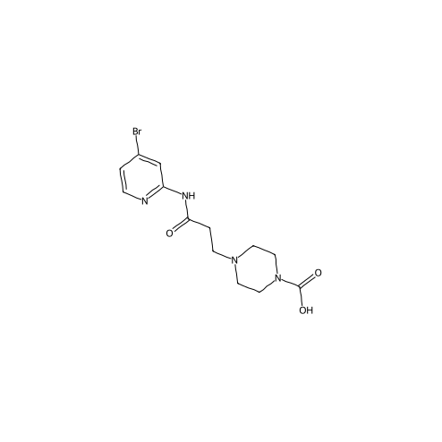 O=C(CCN1CCN(C(=O)O)CC1)Nc1cc(Br)ccn1